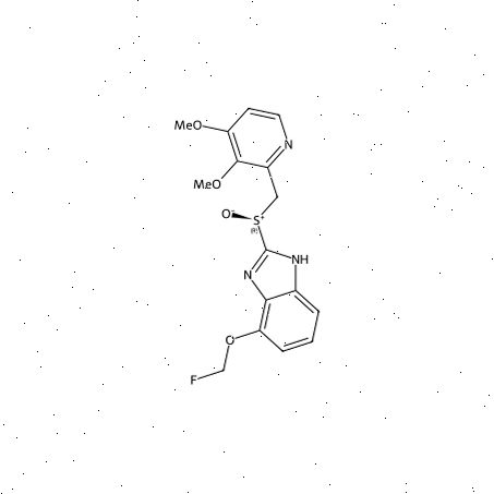 COc1ccnc(C[S@+]([O-])c2nc3c(OCF)cccc3[nH]2)c1OC